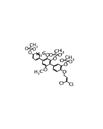 COc1cc(-c2ccc(OS(C)(=O)=O)cc2)c(OC)c(OS(C)(=O)=O)c1-c1ccc(OCC=C(Cl)Cl)c(OS(C)(=O)=O)c1